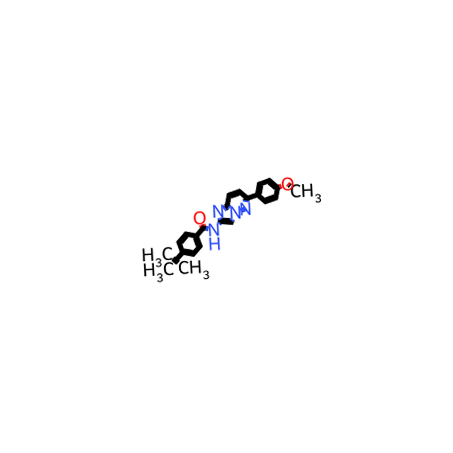 COc1ccc(-c2ccc3nc(NC(=O)c4ccc(C(C)(C)C)cc4)cn3n2)cc1